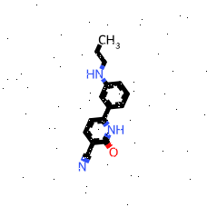 CCCNc1cccc(-c2ccc(C#N)c(=O)[nH]2)c1